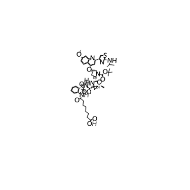 C=C[C@@H]1C[C@]1(NC(=O)[C@@H]1C[C@@H](Oc2cc(-c3csc(NC(C)C)n3)nc3cc(OC)ccc23)CN1C(=O)OC(C)(C)C)C(=O)NS(=O)(=O)c1ccccc1NC(=O)CCCCCCC(=O)O